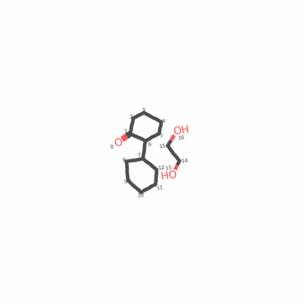 O=C1CCCCC1C1CCCCC1.OCCO